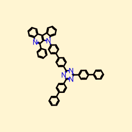 c1ccc(-c2ccc(-c3nc(-c4ccc(-c5ccccc5)cc4)nc(-c4ccc(-c5ccc(-n6c7ccccc7c7c8ccccc8nc(-c8ccccc8)c76)cc5)cc4)n3)cc2)cc1